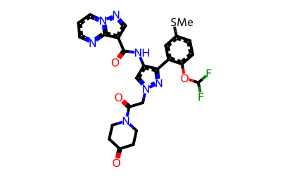 CSc1ccc(OC(F)F)c(-c2nn(CC(=O)N3CCC(=O)CC3)cc2NC(=O)c2cnn3cccnc23)c1